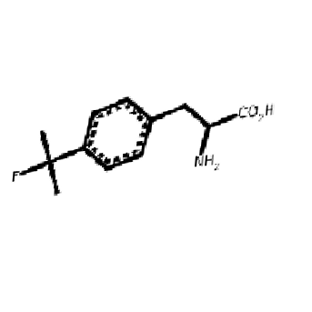 CC(C)(F)c1ccc(CC(N)C(=O)O)cc1